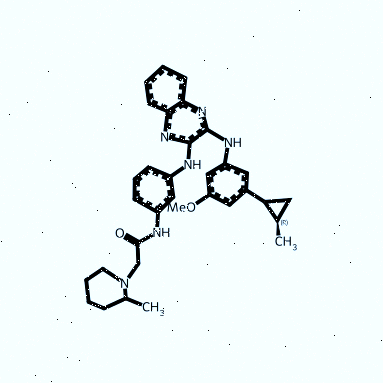 COc1cc(Nc2nc3ccccc3nc2Nc2cccc(NC(=O)CN3CCCCC3C)c2)cc(C2C[C@H]2C)c1